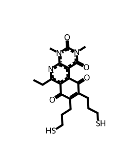 CCc1nc2c(c3c1C(=O)C(CCCS)=C(CCCS)C3=O)c(=O)n(C)c(=O)n2C